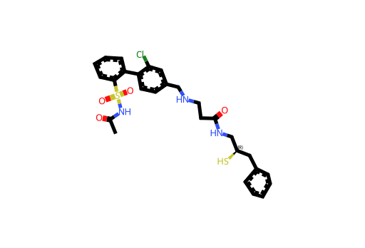 CC(=O)NS(=O)(=O)c1ccccc1-c1ccc(CNCCC(=O)NC[C@H](S)Cc2ccccc2)cc1Cl